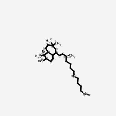 CCCCCCCCCCCCCCNCCCC[C@H](C)CCC1CC(C)(C)CCC2C1CCC(CCC)[C@]2(C)CC